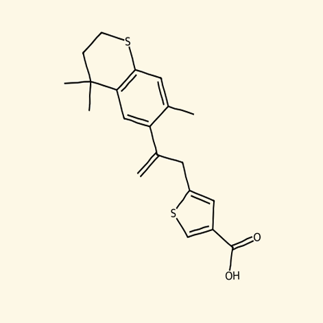 C=C(Cc1cc(C(=O)O)cs1)c1cc2c(cc1C)SCCC2(C)C